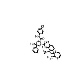 CC1=NC=CC=NC1(CCC1CC1)c1ccc(F)c(NC(=O)[C@H]2C[C@](O)(c3ccccc3)CN2C(=O)Nc2ccc(Cl)cc2)c1